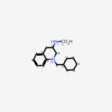 O=C(O)NC1Cc2ccccc2N(CC2CCCCC2)C1